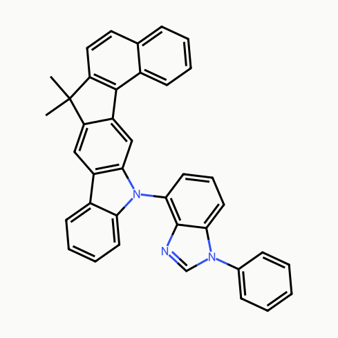 CC1(C)c2cc3c4ccccc4n(-c4cccc5c4ncn5-c4ccccc4)c3cc2-c2c1ccc1ccccc21